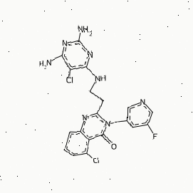 Nc1nc(N)c(Cl)c(NCCc2nc3cccc(Cl)c3c(=O)n2-c2cncc(F)c2)n1